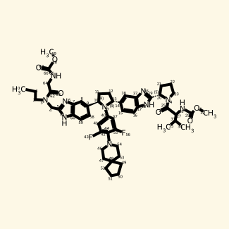 CCCN(Cc1nc2cc([C@H]3CC[C@H](c4ccc5[nH]c([C@@H]6CCCN6C(=O)C(NC(=O)OC)C(C)C)nc5c4)N3c3cc(F)c(N4CCC5(CCCC5)CC4)c(F)c3)ccc2[nH]1)C(=O)CNC(=O)OC